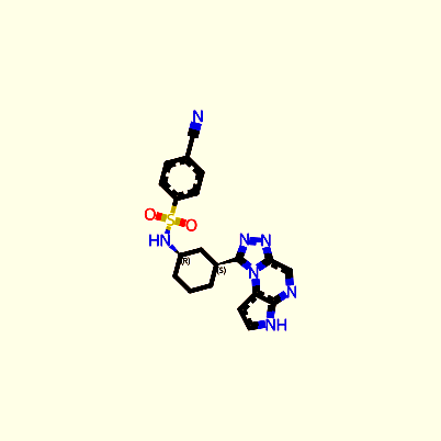 N#Cc1ccc(S(=O)(=O)N[C@@H]2CCC[C@H](c3nnc4cnc5[nH]ccc5n34)C2)cc1